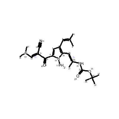 CC(C)=Cc1cc(C(=O)/C(C#N)=C/N(C)C)n(P)c1/C=C(\C)NC(=O)OC(C)(C)C